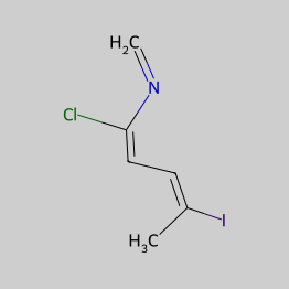 C=N/C(Cl)=C\C=C(/C)I